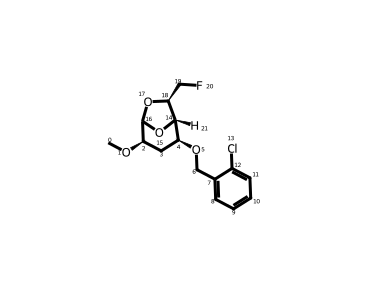 CO[C@@H]1C[C@H](OCc2ccccc2Cl)[C@@H]2OC1O[C@H]2CF